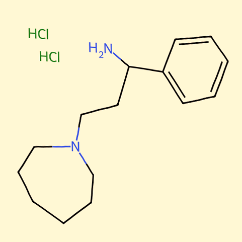 Cl.Cl.NC(CCN1CCCCCC1)c1ccccc1